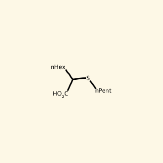 CCCCCCC(SCCCCC)C(=O)O